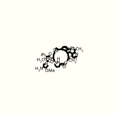 CCn1c(-c2cccnc2[C@H](C)OC)c2c3cc(ccc31)-c1csc(n1)C[C@H](NC(=O)[C@H](C(C)C)N(C)C(=O)N1C[C@H](OC)[C@@H](N)C1)C(=O)N1CCC[C@@](O)(N1)C(=O)OCC(C)(C)C2